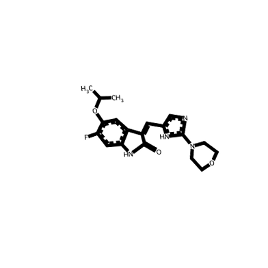 CC(C)Oc1cc2c(cc1F)NC(=O)/C2=C\c1cnc(N2CCOCC2)[nH]1